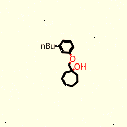 CCCCc1cccc(OCC2(O)CCCCCC2)c1